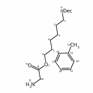 CCCCCCCCCCCCCCCCOC(=O)CN.Cc1ccccc1